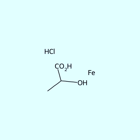 CC(O)C(=O)O.Cl.[Fe]